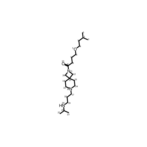 CC(C)CCOCCCC(=O)N1CC2(CCN(CCCNC(C)C)CC2)C1